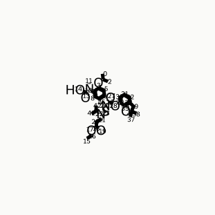 CC(C)Oc1ccccc1N(C)C(=O)O.CCOC(=O)CCN(SN(C)C(=O)Oc1cccc2c1OC(C)(C)C2)C(C)C